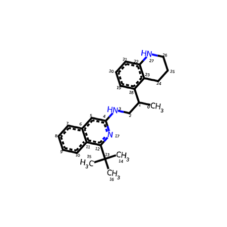 CC(CNc1cc2ccccc2c(C(C)(C)C)n1)c1cccc2c1CCCN2